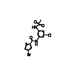 CS(=O)(=O)Nc1cc(Cl)cc(NC(=O)c2cc(Br)cs2)c1